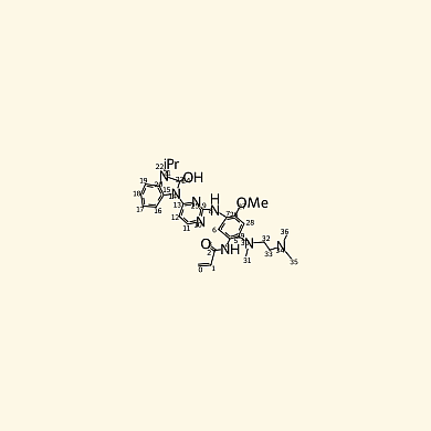 C=CC(=O)Nc1cc(Nc2nccc(N3c4ccccc4N(C(C)C)C3O)n2)c(OC)cc1N(C)CCN(C)C